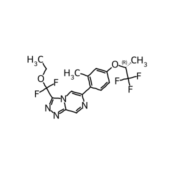 CCOC(F)(F)c1nnc2cnc(-c3ccc(O[C@H](C)C(F)(F)F)cc3C)cn12